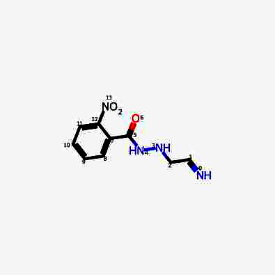 N=CCNNC(=O)c1ccccc1[N+](=O)[O-]